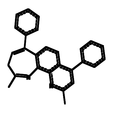 CC1=Nc2c(ccc3c(-c4ccccc4)cc(C)nc23)C(c2ccccc2)=CC1